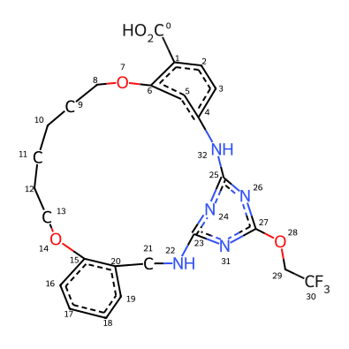 O=C(O)c1ccc2cc1OCCCCCCOc1ccccc1CNc1nc(nc(OCC(F)(F)F)n1)N2